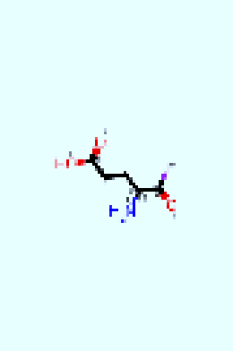 N[C@@H](CCC(=O)O)C(=O)I